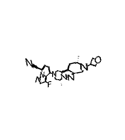 C[C@@H]1CN(c2ccc(C#N)n3ncc(F)c23)Cc2c3c(nn21)CN(C1COC1)[C@@H](C)C3